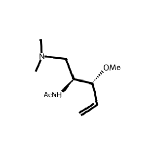 C=C[C@@H](OC)[C@H](CN(C)C)NC(C)=O